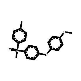 COc1ccc(Oc2ccc(P(C)(=O)c3ccc(C)cc3)cc2)cc1